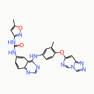 Cc1cc(NC(=O)Nc2ccc3ncnc(Nc4ccc(Oc5cc6nncn6cn5)c(C)c4)c3c2)no1